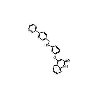 O=c1cc(Oc2cccc(NCc3ccc(-c4cccnc4)cc3)c2)c2ccccc2[nH]1